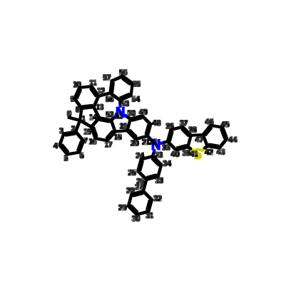 CC1(c2ccccc2)c2cccc3c2-c2c1ccc1c4cc(N(c5ccc(-c6ccccc6)cc5)c5ccc6c(c5)sc5ccccc56)ccc4n(c21)-c1ccccc1-3